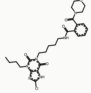 CCCCn1c(=O)n(CCCCCNC(=O)c2ccccc2C(=O)N2CCOCC2)c(=O)c2[nH]c(Cl)nc21